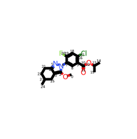 COc1c2c(nn1-c1cc(C(=O)OC(C)C)c(Cl)cc1F)CCC(C)C2